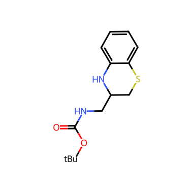 CC(C)(C)OC(=O)NCC1CSc2ccccc2N1